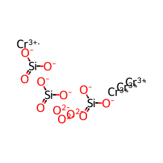 O=[Si]([O-])[O-].O=[Si]([O-])[O-].O=[Si]([O-])[O-].[Cr+3].[Cr+3].[Cr+3].[Cr+3].[O-2].[O-2].[O-2]